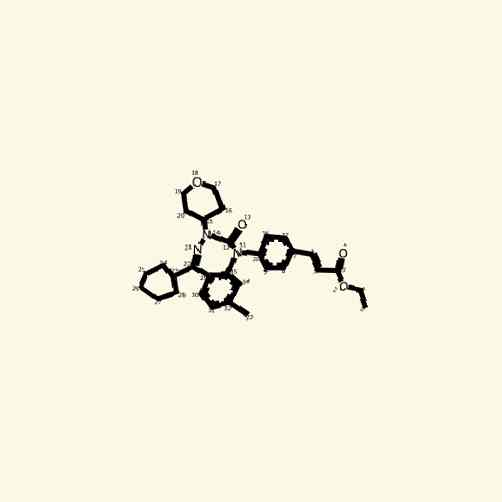 CCOC(=O)C=Cc1ccc(N2C(=O)N(C3CCOCC3)N=C(C3CCCCC3)c3ccc(C)cc32)cc1